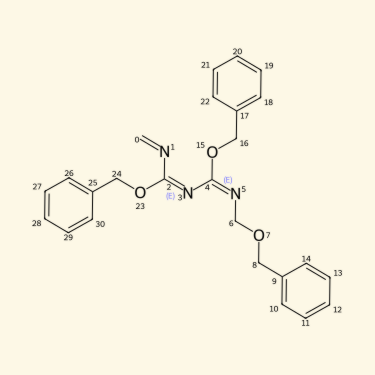 C=N/C(=N\C(=N/COCc1ccccc1)OCc1ccccc1)OCc1ccccc1